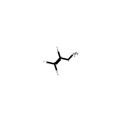 CCCCC(I)=C(I)I